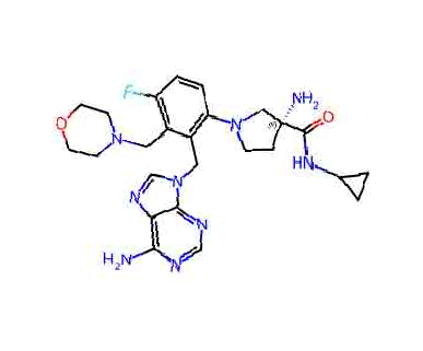 Nc1ncnc2c1ncn2Cc1c(N2CC[C@](N)(C(=O)NC3CC3)C2)ccc(F)c1CN1CCOCC1